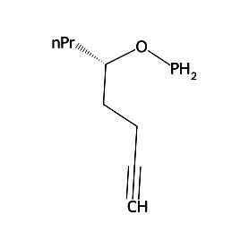 C#CCC[C@H](CCC)OP